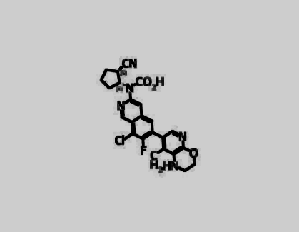 Cc1c(-c2cc3cc(N(C(=O)O)[C@@H]4CCC[C@H]4C#N)ncc3c(Cl)c2F)cnc2c1NCCO2